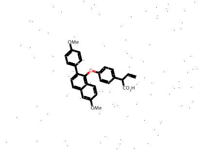 C=CC(C(=O)O)c1ccc(Oc2c(-c3ccc(OC)cc3)ccc3cc(OC)ccc23)cc1